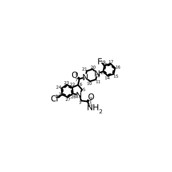 NC(=O)CN1CC(C(=O)N2CCN(c3ccccc3F)CC2)c2ccc(Cl)cc21